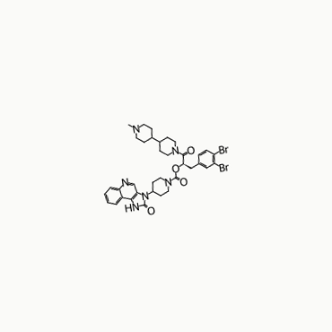 CN1CCC(C2CCN(C(=O)[C@@H](Cc3ccc(Br)c(Br)c3)OC(=O)N3CCC(n4c(=O)[nH]c5c6ccccc6ncc54)CC3)CC2)CC1